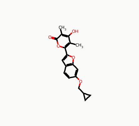 Cc1c(-c2cc3ccc(OCC4CC4)cc3o2)oc(=O)c(C)c1O